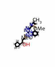 COc1cccc(OC)c1-n1c(NSCCC(O)C2CCCC2)nnc1-c1nc(C)cs1